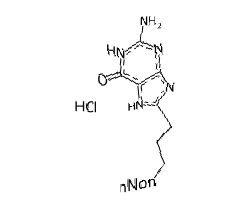 CCCCCCCCCCCCc1nc2nc(N)[nH]c(=O)c2[nH]1.Cl